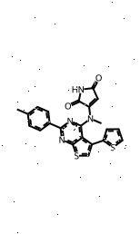 Cc1ccc(-c2nc(N(C)C3=CC(=O)NC3=O)c3c(-c4cccs4)csc3n2)cc1